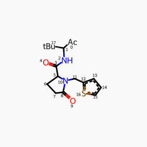 CC(=O)C(NC(=O)C1CCC(=O)N1Cc1cccs1)C(C)(C)C